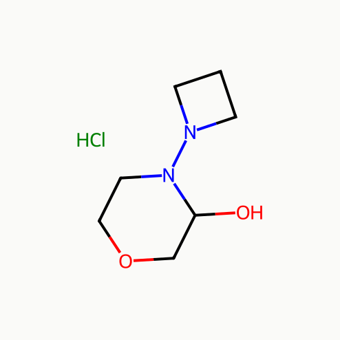 Cl.OC1COCCN1N1CCC1